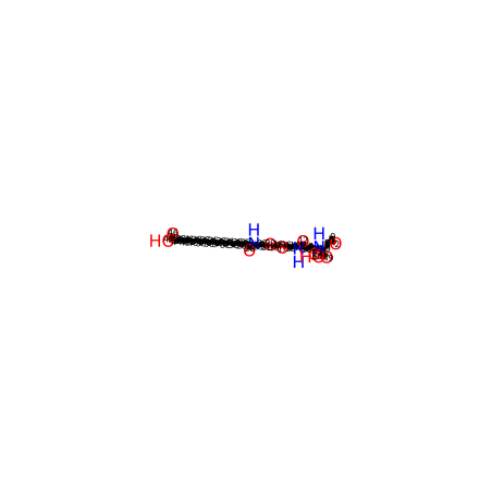 CC(=O)CC[C@H](NC(=O)CCC(=O)NCCCOCCOCCCNC(=O)CCCCCCCCCCCCCCCCCCC(=O)O)C(=O)O